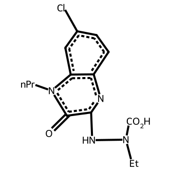 CCCn1c(=O)c(NN(CC)C(=O)O)nc2ccc(Cl)cc21